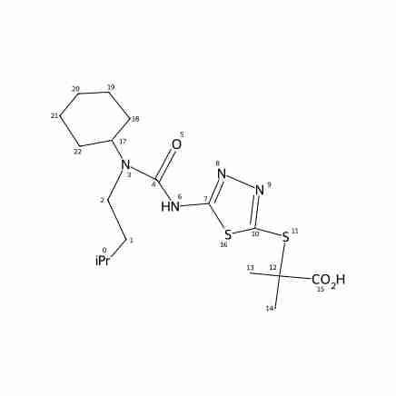 CC(C)CCN(C(=O)Nc1nnc(SC(C)(C)C(=O)O)s1)C1CCCCC1